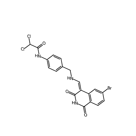 O=C1NC(=O)c2ccc(Br)cc2C1=CNCc1ccc(NC(=O)C(Cl)Cl)cc1